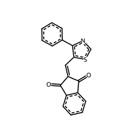 O=C1C(=Cc2scnc2-c2ccccc2)C(=O)c2ccccc21